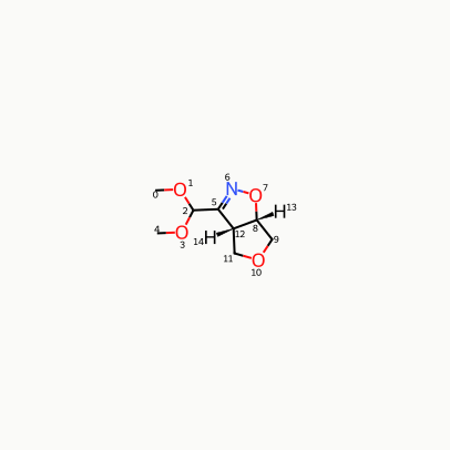 COC(OC)C1=NO[C@@H]2COC[C@H]12